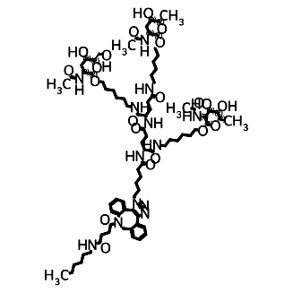 CCCCCCNC(=O)CCC(=O)N1Cc2ccccc2-c2nnn(CCCCCC(=O)NC(CCC(=O)NC(CCC(=O)NCCCCCCO[C@@H]3O[C@H](C)[C@H](O)C[C@H]3NC(C)=O)C(=O)NCCCCCCO[C@@H]3O[C@H](CO)[C@H](O)C[C@H]3NC(C)=O)C(=O)NCCCCCCO[C@@H]3O[C@H](C)[C@H](O)[C@H](O)[C@H]3NC(C)=O)c2-c2ccccc21